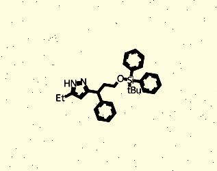 CCc1cc(C(CCO[Si](c2ccccc2)(c2ccccc2)C(C)(C)C)c2ccccc2)n[nH]1